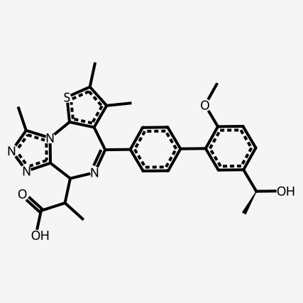 COc1ccc([C@H](C)O)cc1-c1ccc(C2=NC(C(C)C(=O)O)c3nnc(C)n3-c3sc(C)c(C)c32)cc1